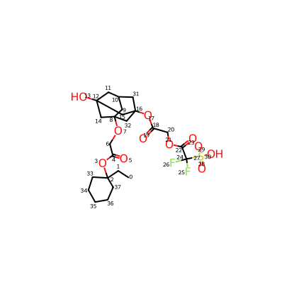 CCC1(OC(=O)COC23CC4CC(O)(C2)CC(OC(=O)COC(=O)C(F)(F)S(=O)(=O)O)(C4)C3)CCCCC1